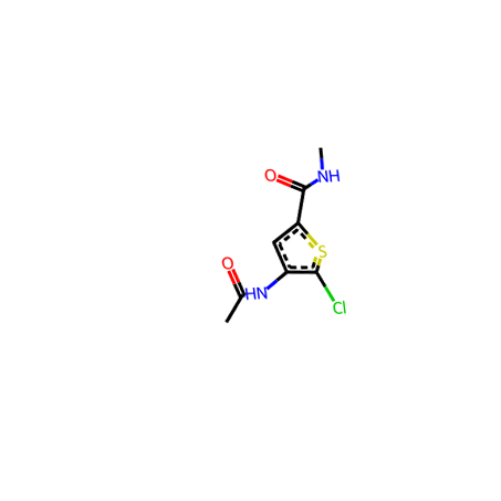 CNC(=O)c1cc(NC(C)=O)c(Cl)s1